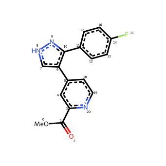 COC(=O)c1cc(-c2c[nH]nc2-c2ccc(F)cc2)ccn1